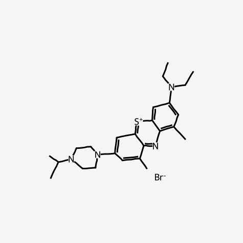 CCN(CC)c1cc(C)c2nc3c(C)cc(N4CCN(C(C)C)CC4)cc3[s+]c2c1.[Br-]